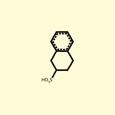 O=S(=O)(O)C1CCc2ccccc2C1